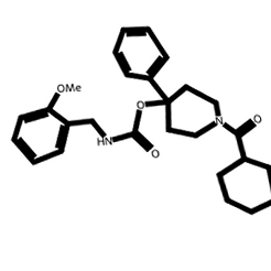 COc1ccccc1CNC(=O)OC1(c2ccccc2)CCN(C(=O)C2CCCCC2)CC1